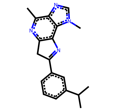 Cc1nc2c(c3c1ncn3C)N=C(c1cccc(C(C)C)c1)C2